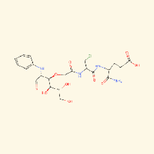 NC(=O)C(CCC(=O)O)NC(=O)C(CCl)NC(=O)CO[C@@H]([C@H](O)[C@H](O)CO)[C@H](C=O)Nc1ccccc1